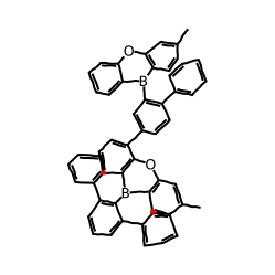 Cc1ccc2c(c1)Oc1ccccc1B2c1cc(-c2cccc3c2Oc2cc(C)ccc2B3c2c(-c3ccccc3)cccc2-c2ccccc2)ccc1-c1ccccc1